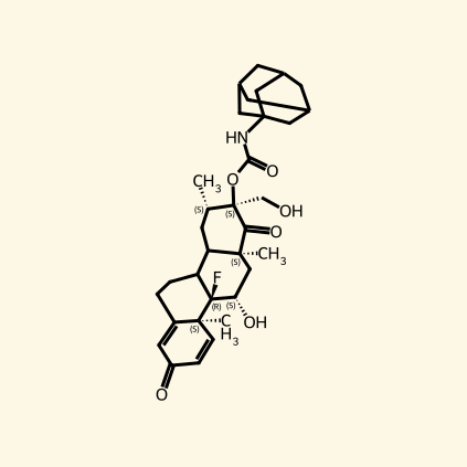 C[C@H]1CC2C3CCC4=CC(=O)C=C[C@]4(C)[C@@]3(F)[C@@H](O)C[C@]2(C)C(=O)[C@]1(CO)OC(=O)NC12CC3CC(CC(C3)C1)C2